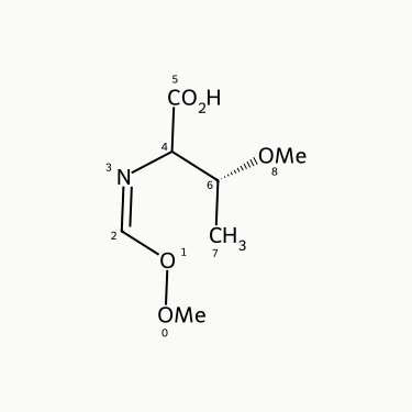 COO/C=N\C(C(=O)O)[C@@H](C)OC